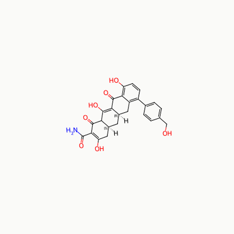 NC(=O)C1=C(O)C[C@@H]2C[C@@H]3Cc4c(-c5ccc(CO)cc5)ccc(O)c4C(=O)C3=C(O)C2C1=O